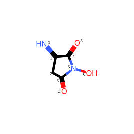 N=C1CC(=O)N(O)C1=O